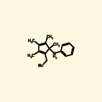 CCC(C)CC1=C(C)C(C)=C(C)C1(C)[SiH2]c1ccccc1